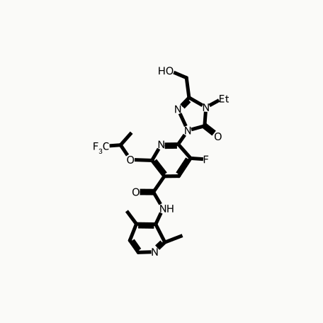 CCn1c(CO)nn(-c2nc(OC(C)C(F)(F)F)c(C(=O)Nc3c(C)ccnc3C)cc2F)c1=O